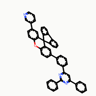 c1ccc(-c2cc(-c3cccc(-c4ccc5c(c4)C4(c6cc(-c7cccnc7)ccc6O5)c5ccccc5-c5ccccc54)c3)nc(-c3ccccc3)n2)cc1